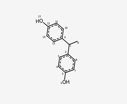 CC(c1ccc(O)cc1)c1ccc(O)cc1